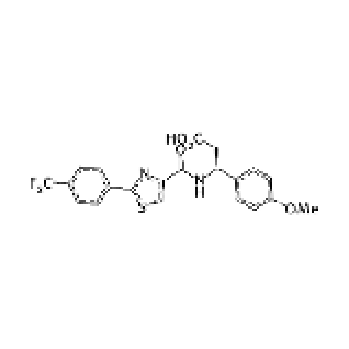 COc1ccc([C@H](CC(=O)O)NC(=O)c2csc(-c3ccc(C(F)(F)F)cc3)n2)cc1